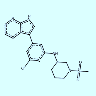 CS(=O)(=O)N1CCCC(Nc2cc(-c3c[nH]c4ncccc34)cc(Cl)n2)C1